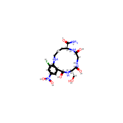 NC(=O)[C@@H]1CCCNc2c(F)cc([N+](=O)[O-])cc2C(=O)N[C@@H](CO)C(=O)NCC(=O)N1